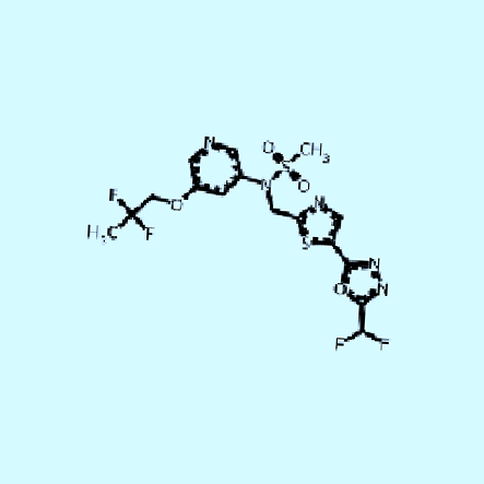 CC(F)(F)COc1cncc(N(Cc2ncc(-c3nnc(C(F)F)o3)s2)S(C)(=O)=O)c1